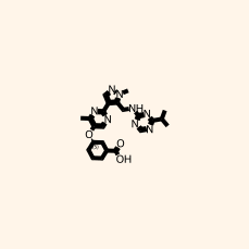 Cc1nc(-c2cnn(C)c2CNc2ncnc(C(C)C)n2)ncc1O[C@H]1CCCC(C(=O)O)C1